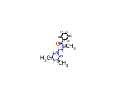 CC1CC(C)CN(CCN(C)C(=O)c2ccccc2)C1